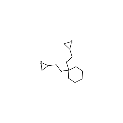 C1CCC(SCC2CS2)(SCC2CS2)CC1